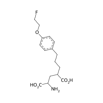 NC(CC(CCCc1ccc(OCCF)cc1)C(=O)O)C(=O)O